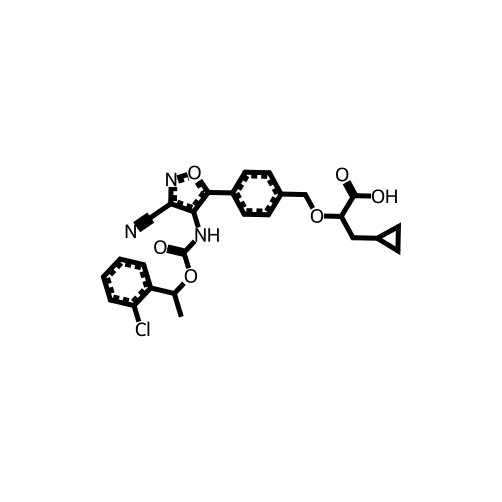 CC(OC(=O)Nc1c(C#N)noc1-c1ccc(COC(CC2CC2)C(=O)O)cc1)c1ccccc1Cl